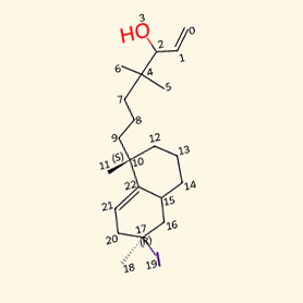 C=CC(O)C(C)(C)CCC[C@]1(C)CCCC2C[C@@](C)(I)CC=C21